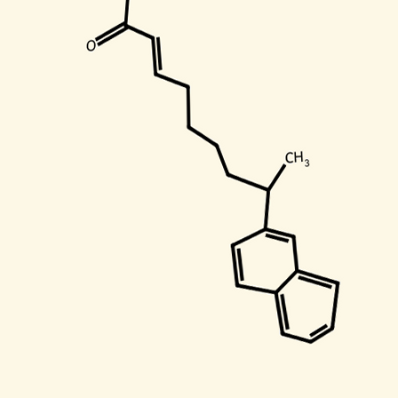 CC(CCCC/C=C/C(=O)NO)c1ccc2ccccc2c1